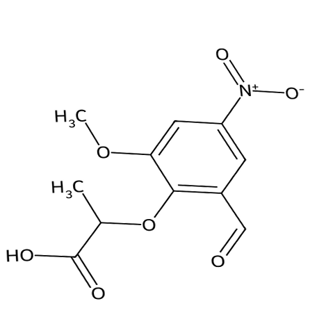 COc1cc([N+](=O)[O-])cc(C=O)c1OC(C)C(=O)O